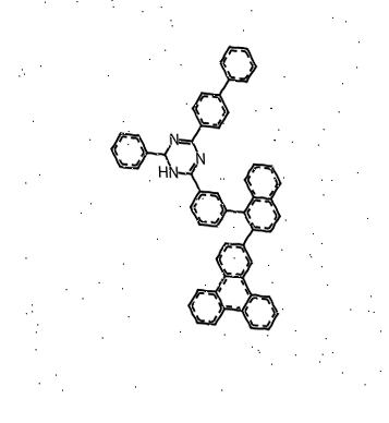 c1ccc(-c2ccc(C3=NC(c4ccccc4)NC(c4cccc(-c5c(-c6ccc7c8ccccc8c8ccccc8c7c6)ccc6ccccc56)c4)=N3)cc2)cc1